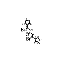 O=C(CC(Br)c1ccsc1)CC(Br)c1ccsc1